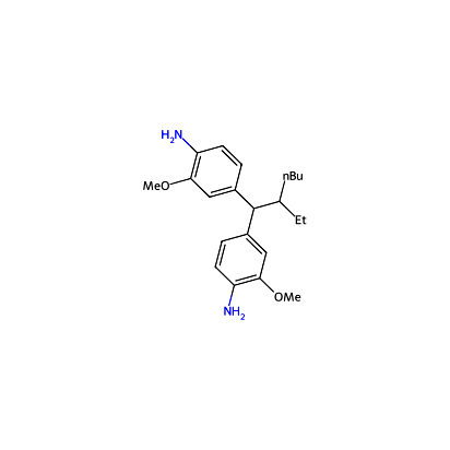 CCCCC(CC)C(c1ccc(N)c(OC)c1)c1ccc(N)c(OC)c1